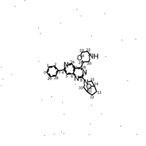 c1ccc(-c2cc3nc(N4CC5CCC(C4)O5)nc(C4CNCCO4)c3cn2)cc1